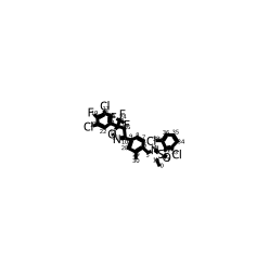 CCS(=O)(=NCc1ccc(C2=NOC(c3cc(Cl)c(F)c(Cl)c3)(C(F)(F)F)C2)cc1C)c1c(Cl)cccc1Cl